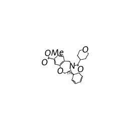 COC(=O)c1ccc2c(c1)OC[C@H](C1C=CC=CC1)N(C(=O)C1CCOCC1)C2